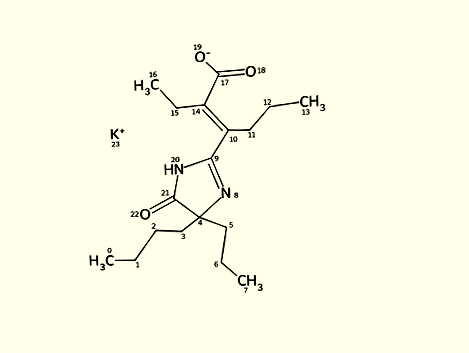 CCCCC1(CCC)N=C(/C(CCC)=C(\CC)C(=O)[O-])NC1=O.[K+]